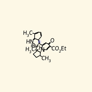 CCOC(=O)c1cn(C2C(C)CCC2(C)C)c(/C(=C2\C=CC=C(C)C2=N)C(C)CC)cc1=O